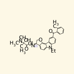 CCn1c2ccc(C(=O)c3ccccc3C)cc2c2c3c(ccc21)/C(=N/OC(=O)C(C)(C)N(C)C)CO3